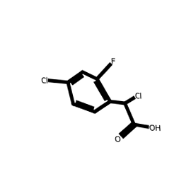 O=C(O)C(Cl)c1ccc(Cl)cc1F